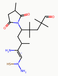 CC1CC(=O)N(C(CC(C)/C(N)=C/N(N)S)C(C)(C)CC(C)(C)C=O)C1=O